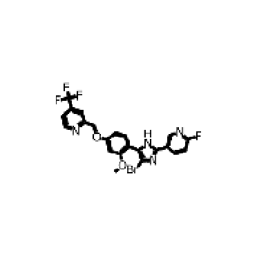 COc1cc(OCc2cc(C(F)(F)F)ccn2)ccc1-c1[nH]c(-c2ccc(F)nc2)nc1Br